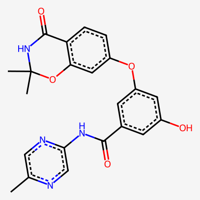 Cc1cnc(NC(=O)c2cc(O)cc(Oc3ccc4c(c3)OC(C)(C)NC4=O)c2)cn1